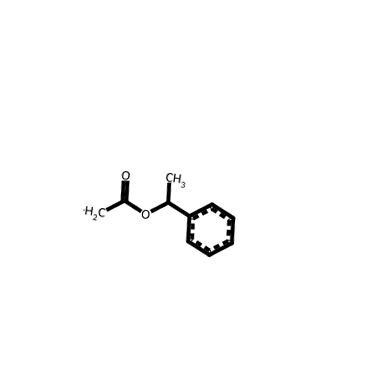 [CH2]C(=O)OC(C)c1ccccc1